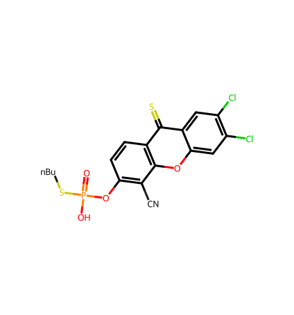 CCCCSP(=O)(O)Oc1ccc2c(=S)c3cc(Cl)c(Cl)cc3oc2c1C#N